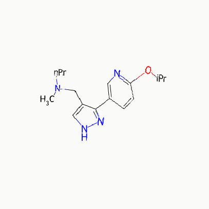 CCCN(C)Cc1c[nH]nc1-c1ccc(OC(C)C)nc1